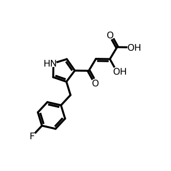 O=C(O)C(O)=CC(=O)c1c[nH]cc1Cc1ccc(F)cc1